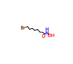 O=C(CCCCCCCBr)NO